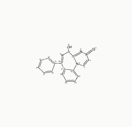 O=c1ccn2c(n1)C(O)N=C(c1ccccc1)c1ccccc1-2